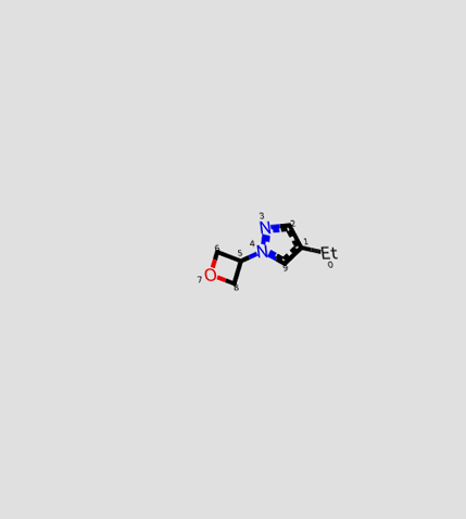 CCc1cnn(C2COC2)c1